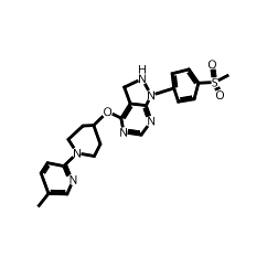 Cc1ccc(N2CCC(Oc3ncnc4c3CNN4c3ccc(S(C)(=O)=O)cc3)CC2)nc1